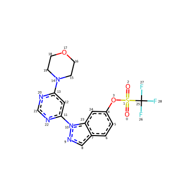 O=S(=O)(Oc1ccc2cnn(-c3cc(N4CCOCC4)ncn3)c2c1)C(F)(F)F